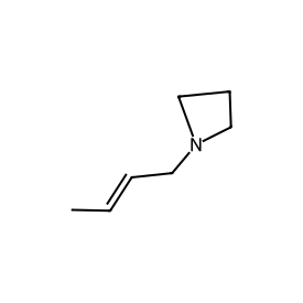 CC=CCN1CCC1